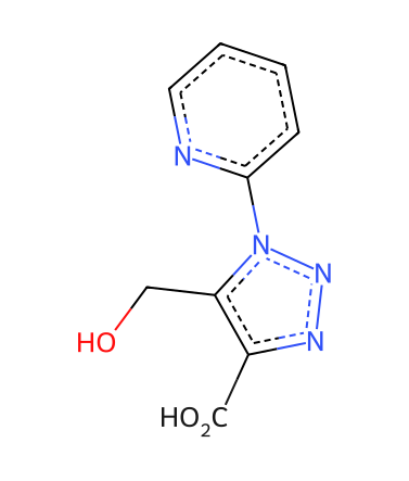 O=C(O)c1nnn(-c2ccccn2)c1CO